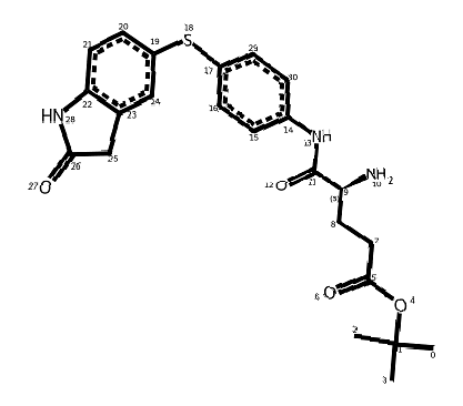 CC(C)(C)OC(=O)CC[C@H](N)C(=O)Nc1ccc(Sc2ccc3c(c2)CC(=O)N3)cc1